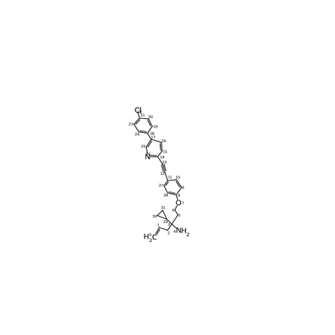 C=CCC(N)(CCOc1ccc(C#Cc2ccc(-c3ccc(Cl)cc3)cn2)cc1)C1CC1